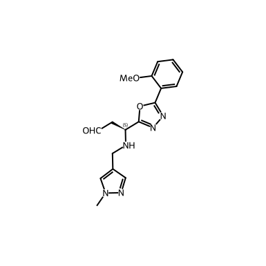 COc1ccccc1-c1nnc([C@H](CC=O)NCc2cnn(C)c2)o1